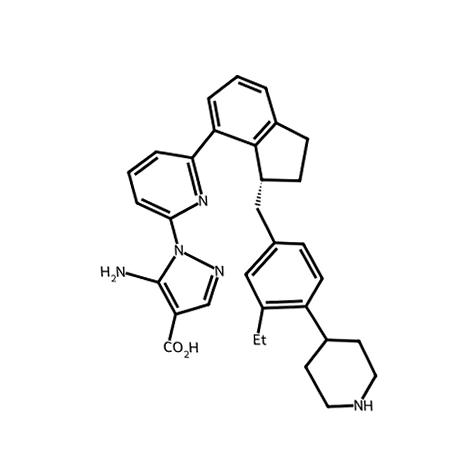 CCc1cc(C[C@H]2CCc3cccc(-c4cccc(-n5ncc(C(=O)O)c5N)n4)c32)ccc1C1CCNCC1